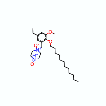 CCCCCCCCCCCCOc1c(C[N+]2([O-])CC[NH+]([O-])CC2)cc(CC)cc1OC